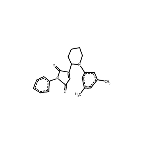 Cc1cc(C)cc(N2CCCCC2C2=CC(=O)N(c3ccccc3)C2=O)c1